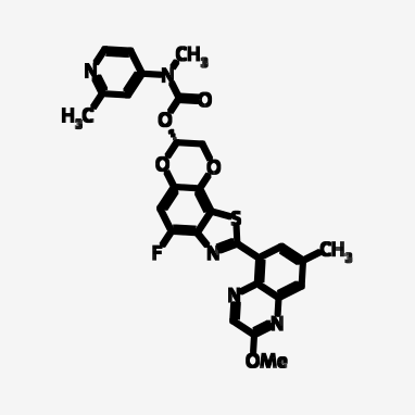 COc1cnc2c(-c3nc4c(F)cc5c(c4s3)OC[C@@H](OC(=O)N(C)c3ccnc(C)c3)O5)cc(C)cc2n1